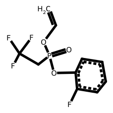 C=COP(=O)(CC(F)(F)F)Oc1ccccc1F